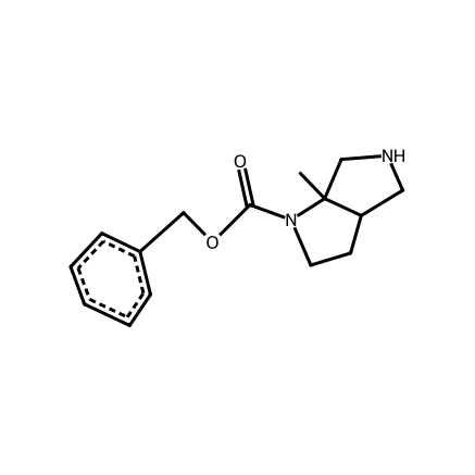 CC12CNCC1CCN2C(=O)OCc1ccccc1